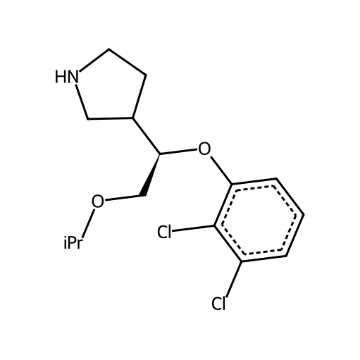 CC(C)OC[C@H](Oc1cccc(Cl)c1Cl)C1CCNC1